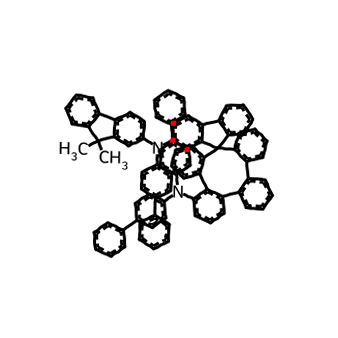 CC1(C)c2ccccc2-c2ccc(N(c3ccc(-c4ccccc4)cc3)c3ccc4c(c3)C3(c5ccccc5-c5ccccc5-c5cccc(N(c6ccc(-c7ccccc7)cc6)c6ccc(-c7ccccc7)cc6)c5-c5ccccc53)c3ccccc3-4)cc21